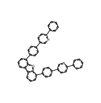 c1ccc(-c2ccc(-c3ccc(-c4cccc5c4oc4c(-c6ccc(-c7ccc(-c8ccccc8)nc7)cc6)cccc45)cc3)cn2)cc1